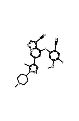 COc1cc(Sc2cc(-c3cnn(C4CCN(C)CC4)c3C)cn3ncc(C#N)c23)c(C#N)cc1F